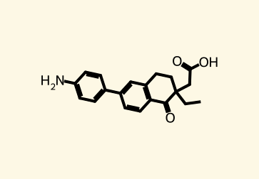 CCC1(CC(=O)O)CCc2cc(-c3ccc(N)cc3)ccc2C1=O